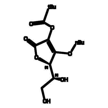 CCCCOC1=C(OC(=O)C(C)(C)C)C(=O)O[C@@H]1[C@@H](O)CO